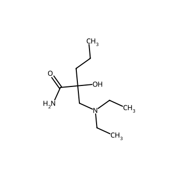 CCCC(O)(CN(CC)CC)C(N)=O